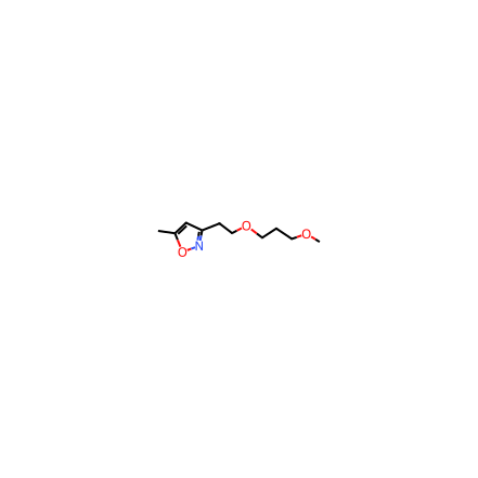 COCCCOCCc1cc(C)on1